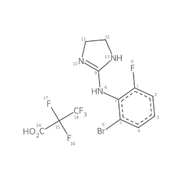 Fc1cccc(Br)c1NC1=NCCN1.O=C(O)C(F)(F)C(F)(F)F